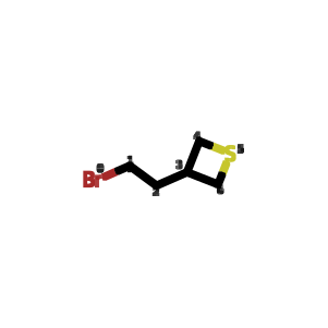 Br[CH]CC1CSC1